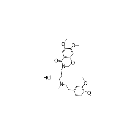 COc1ccc(CCN(C)CCCN2COc3cc(OC)c(OC)cc3C2=O)cc1OC.Cl